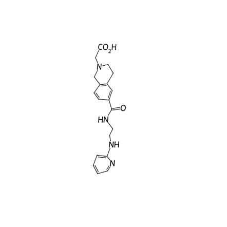 O=C(O)CN1CCc2cc(C(=O)NCCNc3ccccn3)ccc2C1